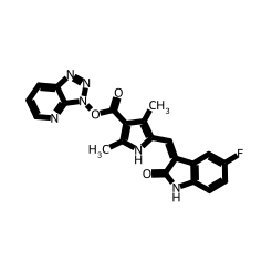 Cc1[nH]c(C=C2C(=O)Nc3ccc(F)cc32)c(C)c1C(=O)On1nnc2cccnc21